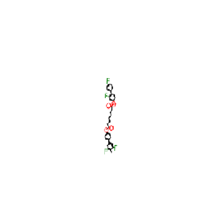 Cc1c(F)cc(-c2ccc(OC(=O)CCCCCCC(=O)Oc3ccc(-c4ccc(F)cc4)c(F)c3)cc2)cc1F